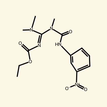 CCOC(=O)N=C(N(C)C)N(C)C(=O)Nc1cccc([N+](=O)[O-])c1